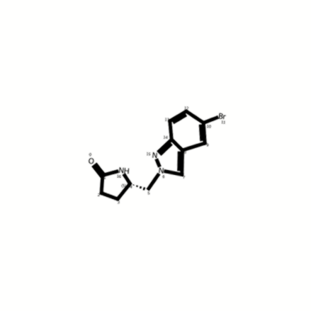 O=C1CC[C@@H](Cn2cc3cc(Br)ccc3n2)N1